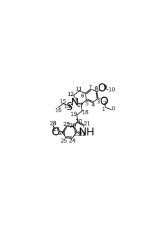 CCOc1cc2c(cc1OC)CCN(SCC)C2CCc1c[nH]c2ccc(OC)cc12